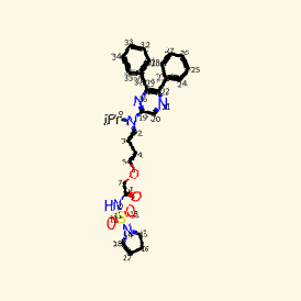 CC(C)N(CCCCOCC(=O)NS(=O)(=O)N1CCCC1)c1cnc(-c2ccccc2)c(-c2ccccc2)n1